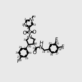 Cn1cnc(S(=O)(=O)N2C[C@H](C(=O)NCc3ccc(F)c(F)c3)[C@@H](c3ccc(F)cc3)C2)c1